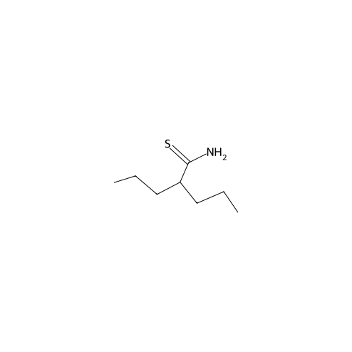 CCCC(CCC)C(N)=S